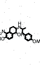 COc1ccc(CC(C)N[C@H]2CCc3c(ccc(O)c3N)[C@@H]2O)cc1